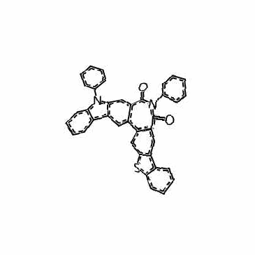 O=c1c2cc3c(cc2c2cc4c5ccccc5n(-c5ccccc5)c4cc2c(=O)n1-c1ccccc1)sc1ccccc13